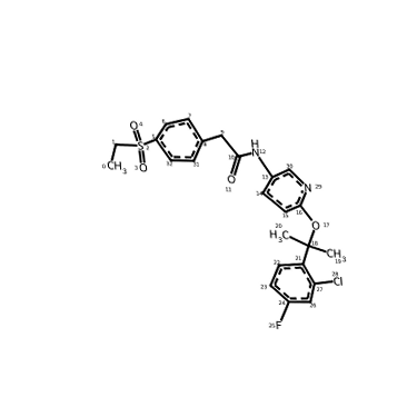 CCS(=O)(=O)c1ccc(CC(=O)Nc2ccc(OC(C)(C)c3ccc(F)cc3Cl)nc2)cc1